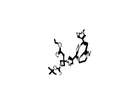 CCOC(=O)CC1(n2cc(-c3nc(-c4cnn(C)c4)cc4nccn34)cn2)CN(C(=O)OC(C)(C)C)C1